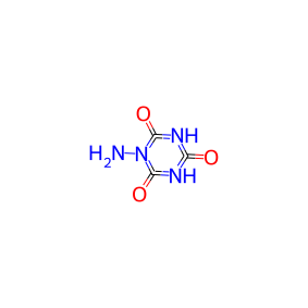 Nn1c(=O)[nH]c(=O)[nH]c1=O